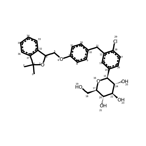 CC1(C)OC(COc2ccc(Cc3cc([C@@H]4O[C@H](CO)[C@@H](O)[C@H](O)[C@H]4O)ccc3Cl)cc2)c2ccccc21